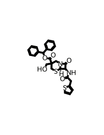 O=C(Cc1cccs1)NC1C(=O)N2CC(CO)(C(=O)OC(c3ccccc3)c3ccccc3)CS[C@H]12